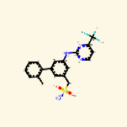 Cc1ccccc1-c1cc(CS(N)(=O)=O)cc(Nc2nccc(C(F)(F)F)n2)c1